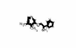 Cc1cncc(OCC(N)c2ccccc2)c1C